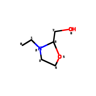 CCN1CCOC1CO